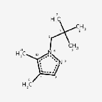 Cc1cnn(CC(C)(C)C)c1C